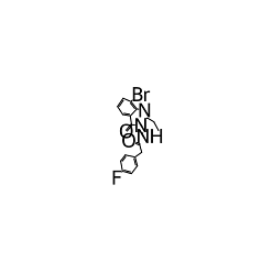 CCc1nc2c(Br)cccc2c(=O)n1NC(=O)Cc1ccc(F)cc1